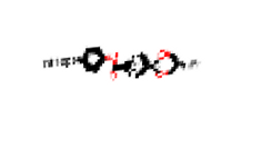 CCCCCCCc1ccc(OC(=O)c2ccc(B3OCC(CCC)CO3)cc2)cc1